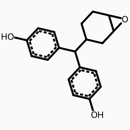 Oc1ccc(C(c2ccc(O)cc2)C2CCC3OC3C2)cc1